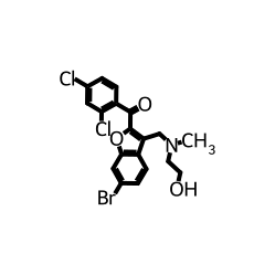 CN(CCO)Cc1c(C(=O)c2ccc(Cl)cc2Cl)oc2cc(Br)ccc12